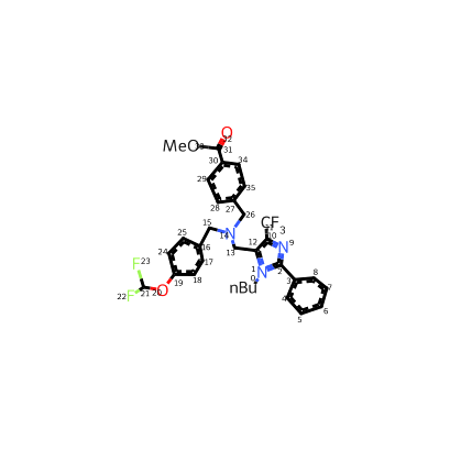 CCCCn1c(-c2ccccc2)nc(C(F)(F)F)c1CN(Cc1ccc(OC(F)F)cc1)Cc1ccc(C(=O)OC)cc1